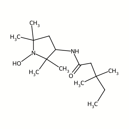 CCC(C)(C)CC(=O)NC1CC(C)(C)N(O)C1(C)C